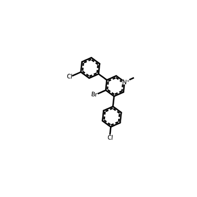 C[n+]1cc(-c2ccc(Cl)cc2)c(Br)c(-c2cccc(Cl)c2)c1